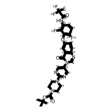 CC(C)(C)OC(=O)N1CCN(c2ncc(-n3cnc4ccc(Oc5c(F)ccc(NC(=O)C(F)(F)F)c5F)cc4c3=O)cn2)CC1